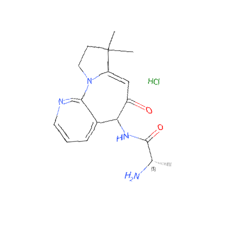 C[C@H](N)C(=O)NC1C(=O)C=C2N(CCC2(C)C)c2ncccc21.Cl